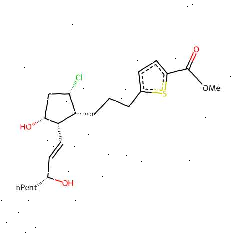 CCCCC[C@@H](O)C=C[C@H]1[C@@H](CCCc2ccc(C(=O)OC)s2)[C@@H](Cl)C[C@H]1O